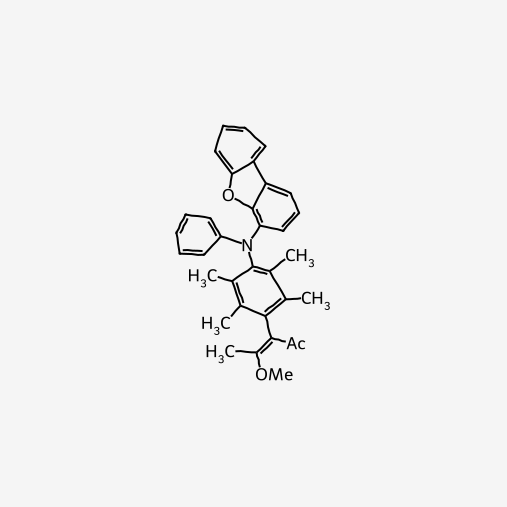 CO/C(C)=C(\C(C)=O)c1c(C)c(C)c(N(c2ccccc2)c2cccc3c2oc2ccccc23)c(C)c1C